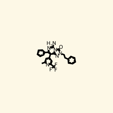 Cc1cc(-c2c(-c3ccccc3)nc(N)n3c(=O)n(CCc4ccccc4)nc23)cc(C(F)(F)F)n1